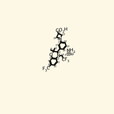 CC(C)(C)N.CC1(C)Oc2cc(C(F)(F)F)ccc2N(CC(F)(F)F)C1c1cccc(N2CC(C(=O)O)C2)c1